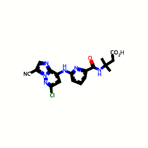 CC(C)(CC(=O)O)NC(=O)c1cccc(Nc2cc(Cl)nn3c(C#N)cnc23)n1